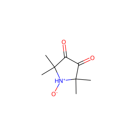 CC1(C)C(=O)C(=O)C(C)(C)[NH+]1[O-]